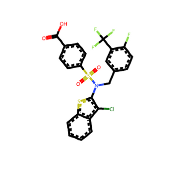 O=C(O)c1ccc(S(=O)(=O)N(Cc2ccc(F)c(C(F)(F)F)c2)c2sc3ccccc3c2Cl)cc1